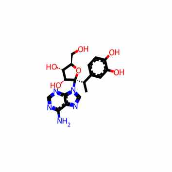 CC(c1ccc(O)c(O)c1)[C@@]1(n2cnc3c(N)ncnc32)O[C@H](CO)[C@@H](O)[C@H]1O